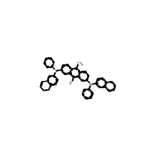 Cc1c2ccc(N(c3ccccc3)c3ccc4c(c3)C=CCC4)cc2c(C)c2cc(N(c3ccccc3)c3ccc4ccccc4c3)ccc12